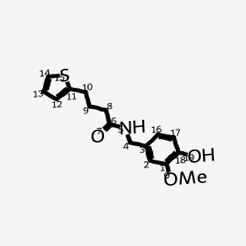 COc1cc(CNC(=O)CCCc2cccs2)ccc1O